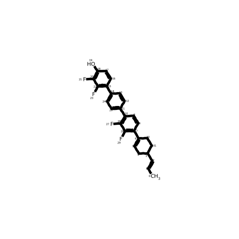 C/C=C/C1CC=C(c2ccc(-c3ccc(-c4ccc(O)c(F)c4F)cc3)c(F)c2F)CC1